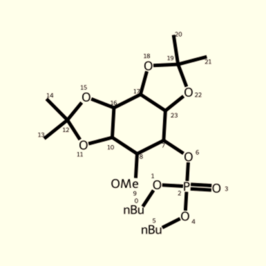 CCCCOP(=O)(OCCCC)OC1C(OC)C2OC(C)(C)OC2C2OC(C)(C)OC21